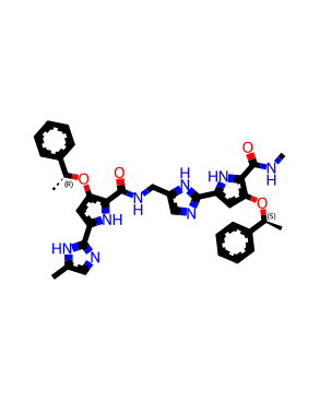 CNC(=O)c1[nH]c(-c2ncc(CNC(=O)c3[nH]c(-c4ncc(C)[nH]4)cc3O[C@H](C)c3ccccc3)[nH]2)cc1O[C@@H](C)c1ccccc1